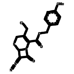 COc1ccc(COC(=O)C2=C(CCl)CSC3C(=[N+]=[N-])C(=O)N23)cc1